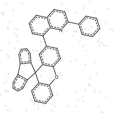 c1ccc(-c2ccc3cccc(-c4ccc5c(c4)C4(c6ccccc6O5)c5ccccc5-c5ccccc54)c3n2)cc1